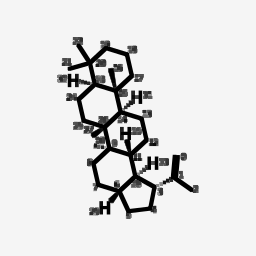 C=C(C)[C@@H]1CC[C@@H]2CC[C@]3(C)[C@H](CC[C@@H]4[C@@]5(C)CCCC(C)(C)[C@@H]5CC[C@]43C)[C@H]21